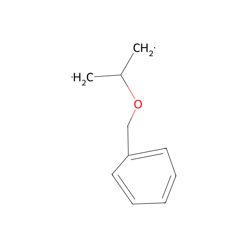 [CH2]C([CH2])OCc1ccccc1